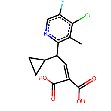 Cc1c(C(C=C(C(=O)O)C(=O)O)C2CC2)ncc(F)c1Cl